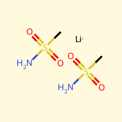 CS(N)(=O)=O.CS(N)(=O)=O.[Li]